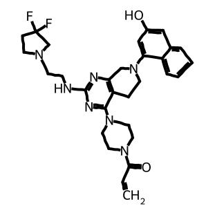 C=CC(=O)N1CCN(c2nc(NCCN3CCC(F)(F)C3)nc3c2CCN(c2cc(O)cc4ccccc24)C3)CC1